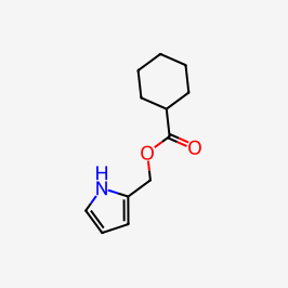 O=C(OCc1ccc[nH]1)C1CCCCC1